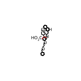 O=C(O)CCO/N=C(/Cc1ccc2ccccc2c1)C1CN(C(=O)O)CCC1c1ccc(OCCCOCc2ccccc2)cc1